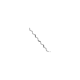 [CH2]CC/C=C/C/C=C/C/C=C/CCCC